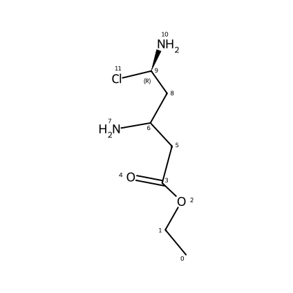 CCOC(=O)CC(N)C[C@H](N)Cl